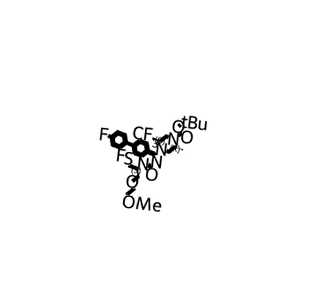 COCCOC[C@H]1CSc2c(-c3ccc(F)cc3F)c(C(F)(F)F)cc3c(N4C[C@@H](C)N(C(=O)OC(C)(C)C)C[C@@H]4C)nc(=O)n1c23